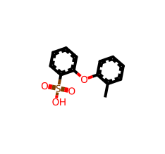 Cc1ccccc1Oc1ccccc1S(=O)(=O)O